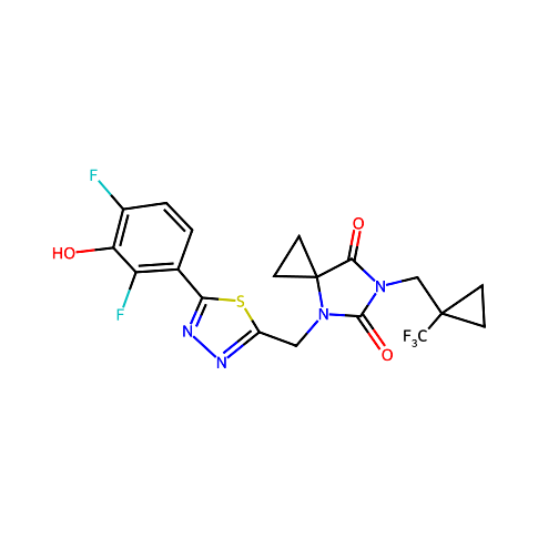 O=C1N(CC2(C(F)(F)F)CC2)C(=O)C2(CC2)N1Cc1nnc(-c2ccc(F)c(O)c2F)s1